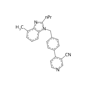 CCCc1nc2c(C)cccc2n1Cc1ccc(-c2ccncc2C#N)cc1